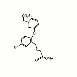 CCOC(=O)Cc1cccc(Oc2ccc(Br)cc2CSCC(=O)OC)c1